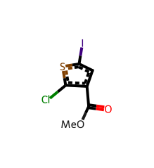 COC(=O)c1cc(I)sc1Cl